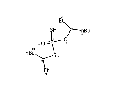 CCCCC(CC)OP(=O)(S)SC(CC)CCCC